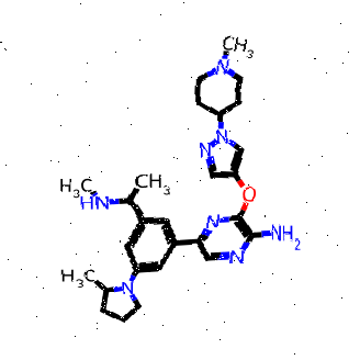 CNC(C)c1cc(-c2cnc(N)c(Oc3cnn(C4CCN(C)CC4)c3)n2)cc(N2CCCC2C)c1